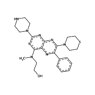 CN(CCO)c1nc(N2CCNCC2)nc2nc(N3CCSCC3)c(-c3ccccc3)nc12